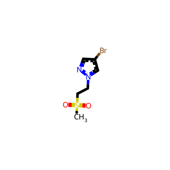 CS(=O)(=O)CCn1cc(Br)cn1